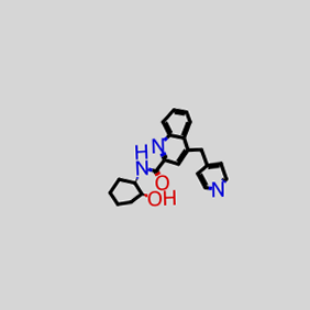 O=C(N[C@H]1CCCC[C@@H]1O)c1cc(Cc2ccncc2)c2ccccc2n1